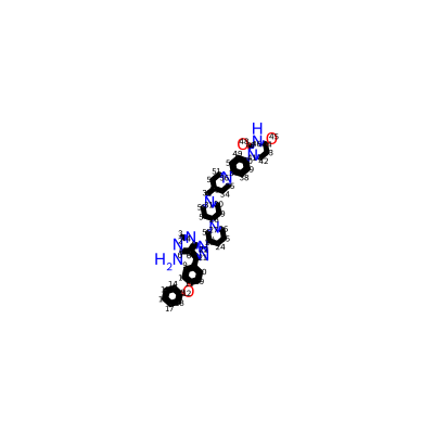 Nc1ncnc2c1c(-c1ccc(Oc3ccccc3)cc1)nn2[C@@H]1CCCN(C2CCN(CC3CCN(c4ccc(N5CCC(=O)NC5=O)cc4)CC3)CC2)C1